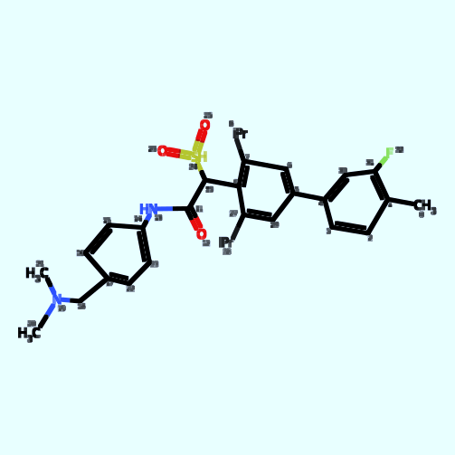 Cc1ccc(-c2cc(C(C)C)c(C(C(=O)Nc3ccc(CN(C)C)cc3)[SH](=O)=O)c(C(C)C)c2)cc1F